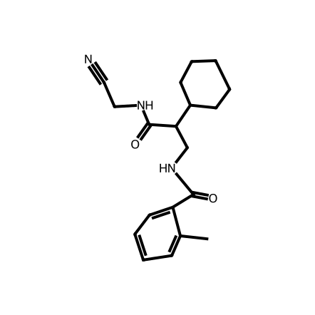 Cc1ccccc1C(=O)NCC(C(=O)NCC#N)C1CCCCC1